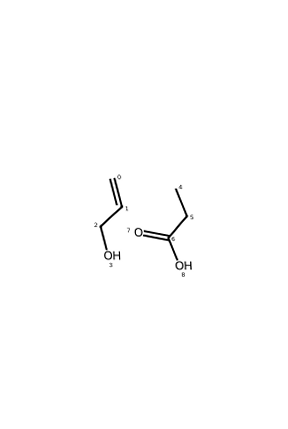 C=CCO.CCC(=O)O